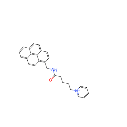 O=C(CCCC[n+]1ccccc1)NCc1ccc2ccc3cccc4ccc1c2c34